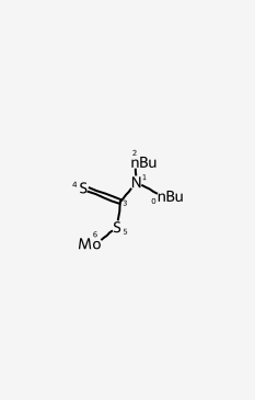 CCCCN(CCCC)C(=S)[S][Mo]